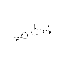 FC(F)OC[C@@H]1CC[C@H](c2ccc(C(F)(F)F)cc2)CN1